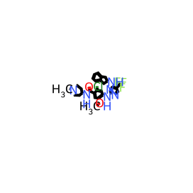 COc1cc(C(=O)NC2CCN(C)CC2)c(Cl)cc1Nc1ncc(C(F)(F)F)c(NC2Cc3ccccc3C2)n1